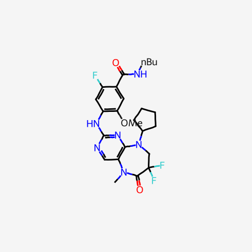 CCCCNC(=O)c1cc(OC)c(Nc2ncc3c(n2)N(C2CCCC2)CC(F)(F)C(=O)N3C)cc1F